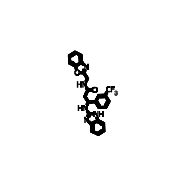 O=C(CC(Nc1nc2ccccc2[nH]1)c1cccc(C(F)(F)F)c1)NCc1nc2ccccc2o1